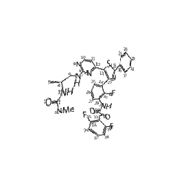 CNC(=O)N[C@@H](C)CNc1nccc(-c2sc(-c3ccccc3)nc2-c2cccc(NS(=O)(=O)c3c(F)cccc3F)c2F)n1